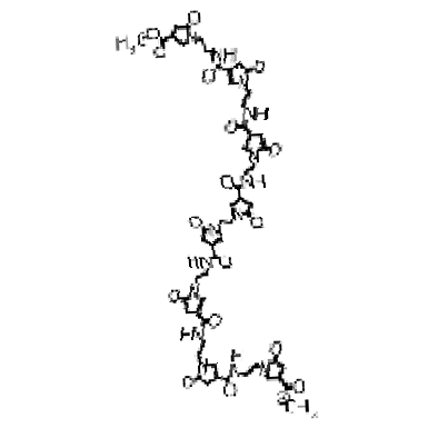 COC(=O)C1CC(=O)N(CCNC(=O)C2CC(=O)N(CCNC(=O)C3CC(=O)N(CCNC(=O)C4CC(=O)N(CCN5CC(C(=O)NCCN6CC(C(=O)NCCN7CC(C(=O)NCCN8CC(C(=O)OC)CC8=O)CC7=O)CC6=O)CC5=O)C4)C3)C2)C1